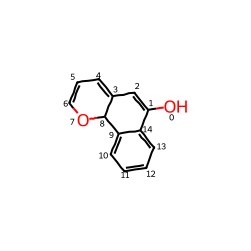 OC1=CC2=CC=COC2c2ccccc21